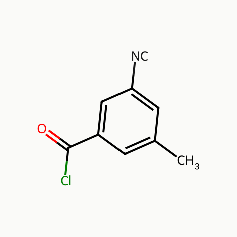 [C-]#[N+]c1cc(C)cc(C(=O)Cl)c1